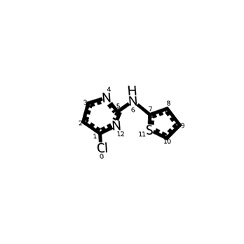 Clc1ccnc(Nc2cccs2)n1